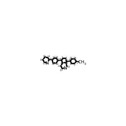 Cc1ccc(-c2ccc(-c3ccc(-c4ccccn4)cc3)c3ccncc23)cc1